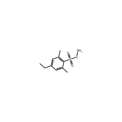 CCc1cc(C)c(S(=O)(=O)ON)c(C)c1